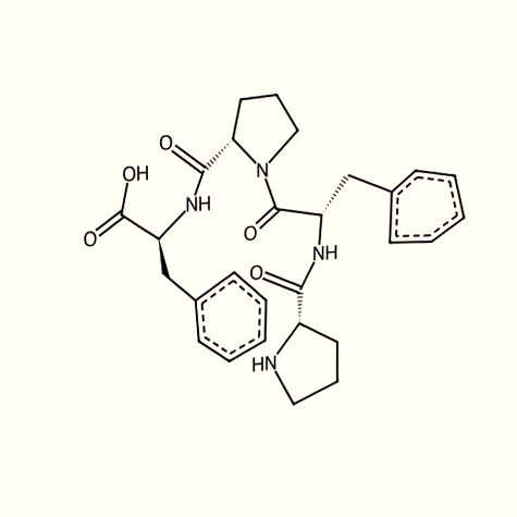 O=C(O)[C@H](Cc1ccccc1)NC(=O)[C@@H]1CCCN1C(=O)[C@H](Cc1ccccc1)NC(=O)[C@@H]1CCCN1